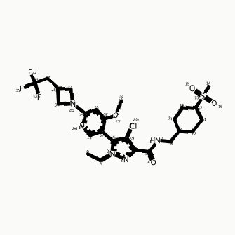 CCn1nc(C(=O)NCC2CCC(S(C)(=O)=O)CC2)c(Cl)c1-c1cnc(N2CC(CC(F)(F)F)C2)cc1OC